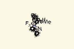 COCc1cc(/C=C/c2cccc(-c3ccccc3)c2C#N)c(C(F)(F)F)cc1CN1CCOC[C@H]1C(=O)O